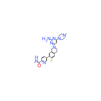 CNC(=O)c1ccc(-c2cc3c(cc2F)CCN(c2cc(N4CCN(C)CC4)nc(N)n2)C3)cn1